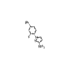 CC(C)c1ccc(-n2ccc(N)n2)c(F)c1